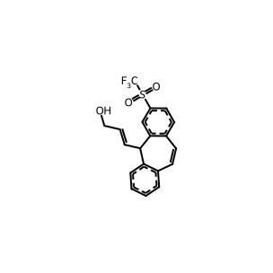 O=S(=O)(c1ccc2c(c1)C(C=CCO)c1ccccc1C=C2)C(F)(F)F